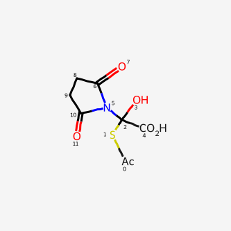 CC(=O)SC(O)(C(=O)O)N1C(=O)CCC1=O